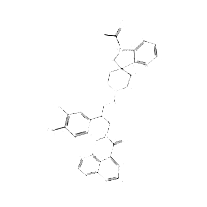 CC(=O)N1CC2(CCN(CCC(CN(C)C(=O)c3cccc4ccccc34)c3ccc(Cl)c(Cl)c3)CC2)c2ccccc21